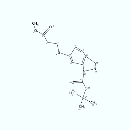 COC(=O)CCSc1ccc2cnn(C(=O)OC(C)(C)C)c2c1